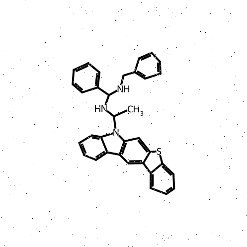 CC(NC(NCc1ccccc1)c1ccccc1)n1c2ccccc2c2cc3c(cc21)sc1ccccc13